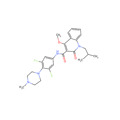 COc1c(C(=O)Nc2cc(F)c(N3CCN(C)CC3)c(F)c2)c(=O)n(CC(C)C)c2ccccc12